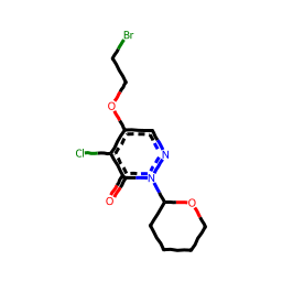 O=c1c(Cl)c(OCCBr)cnn1C1CCCCO1